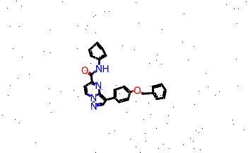 O=C(Nc1ccccc1)c1ccn2ncc(-c3ccc(OCc4ccccc4)cc3)c2n1